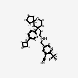 N#Cc1cc(CNCC[C@]2(c3ccc(C4CCC4)cn3)CCOC3(CCCC3)C2)cnc1C(F)(F)F